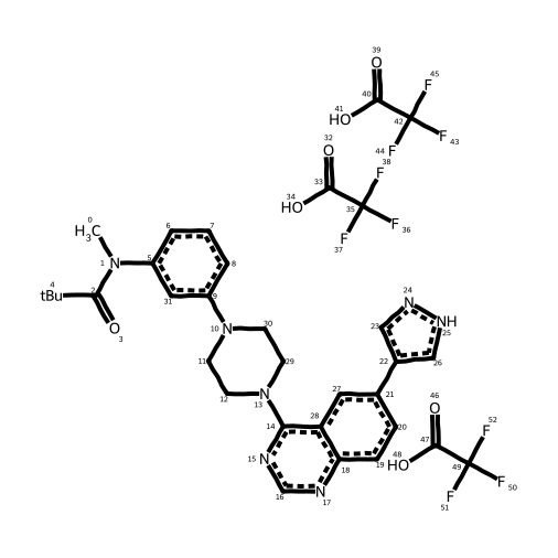 CN(C(=O)C(C)(C)C)c1cccc(N2CCN(c3ncnc4ccc(-c5cn[nH]c5)cc34)CC2)c1.O=C(O)C(F)(F)F.O=C(O)C(F)(F)F.O=C(O)C(F)(F)F